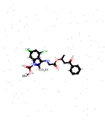 CCOC(=O)c1c(NCC(=O)OC(C)CC(=O)c2ccccc2)c2c(Cl)cc(Cl)cc2n1C(=O)OC(C)(C)C